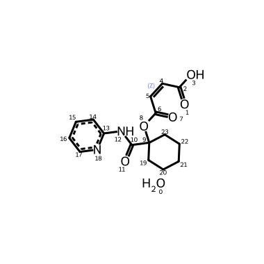 O.O=C(O)/C=C\C(=O)OC1(C(=O)Nc2ccccn2)CCCCC1